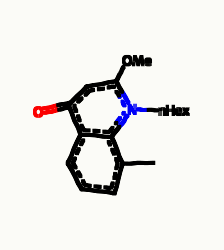 CCCCCCn1c(OC)cc(=O)c2cccc(C)c21